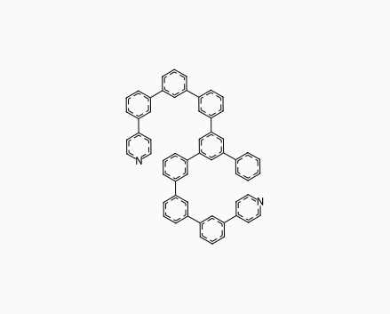 c1ccc(-c2cc(-c3cccc(-c4cccc(-c5cccc(-c6ccncc6)c5)c4)c3)cc(-c3cccc(-c4cccc(-c5cccc(-c6ccncc6)c5)c4)c3)c2)cc1